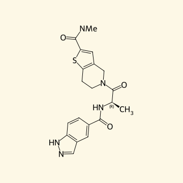 CNC(=O)c1cc2c(s1)CCN(C(=O)[C@@H](C)NC(=O)c1ccc3[nH]ncc3c1)C2